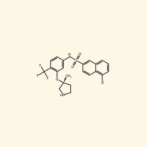 C[C@@]1(Oc2cc(NS(=O)(=O)c3ccc4c(Cl)cccc4c3)ccc2C(F)(F)F)CCNC1